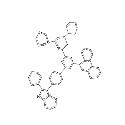 C1=CCC(c2cc(-c3ccccc3)nc(-c3cc(-c4ccc(-c5c(-c6ccccc6)nc6ccccn56)cc4)cc(-c4cc5ccccc5c5ccccc45)c3)c2)C=C1